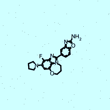 Nc1nc2cc(-c3nc4c(F)c(N5CCCC5)cc5c4n3CCCO5)ccc2o1